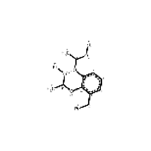 CCOC(C)Oc1cccc(CC(C)C)c1OC(C)OCC